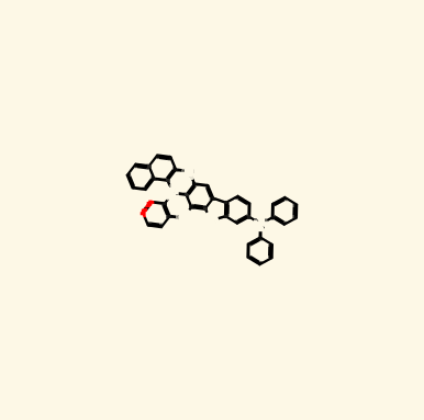 c1ccc(N(c2ccccc2)c2ccc3c(c2)sc2c4c5c(cc23)Oc2ccc3ccccc3c2B5c2c(ccc3ccccc23)O4)cc1